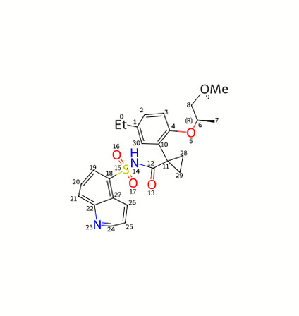 CCc1ccc(O[C@H](C)COC)c(C2(C(=O)NS(=O)(=O)c3cccc4ncccc34)CC2)c1